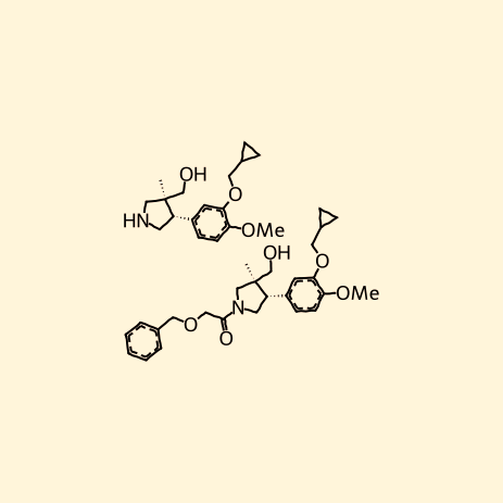 COc1ccc([C@@H]2CN(C(=O)COCc3ccccc3)C[C@@]2(C)CO)cc1OCC1CC1.COc1ccc([C@@H]2CNC[C@@]2(C)CO)cc1OCC1CC1